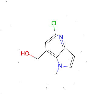 Cn1ccc2nc(Cl)cc(CO)c21